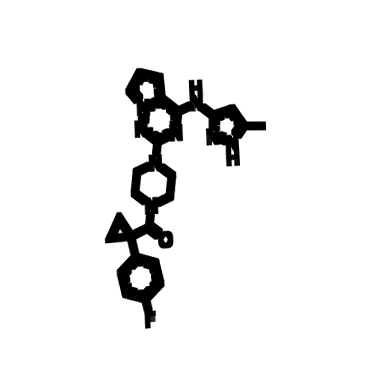 Cc1cc(Nc2nc(N3CCN(C(=O)C4(c5ccc(F)cc5)CC4)CC3)nn3cccc23)n[nH]1